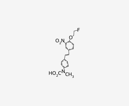 CN(C(=O)O)c1ccc(C=Cc2ccc(OCCF)c([N+](=O)[O-])c2)cc1